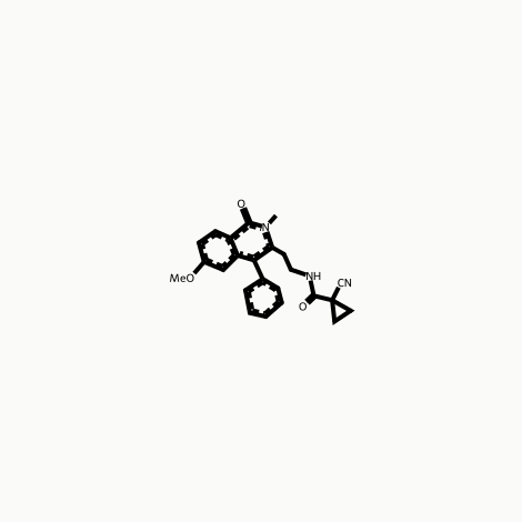 COc1ccc2c(=O)n(C)c(CCNC(=O)C3(C#N)CC3)c(-c3ccccc3)c2c1